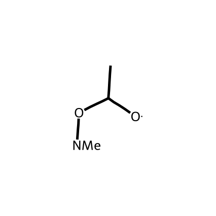 CNOC(C)[O]